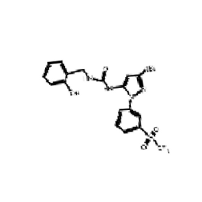 CC(C)(C)c1cc(NC(=O)NCc2ccccc2O)n(-c2cccc(S(=O)(=O)C(F)(F)F)c2)n1